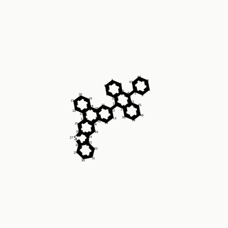 c1ccc(-c2c3ccccc3c(-c3ccc4c(c3)c3ccccc3c3cc5sc6ccccc6c5cc43)c3ccccc23)cc1